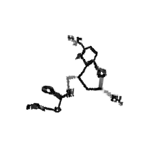 CCCCOC(=O)NC[C@H]1C[C@@H](C)Oc2ccc(C)nc21